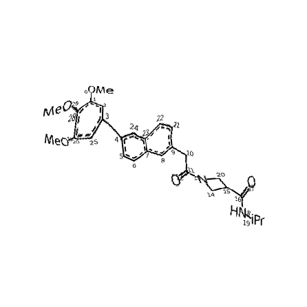 COc1cc(-c2ccc3cc(CC(=O)N4CC(C(=O)NC(C)C)C4)ccc3c2)cc(OC)c1OC